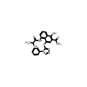 CC(C)C(=O)Nc1cccc2c(O)c(C(N)=O)cc(Sc3nnnn3-c3ccccc3)c12